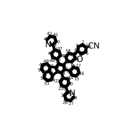 N#Cc1ccc2c(c1)oc1cc(-c3c(-c4ccccc4)c(-c4ccc(-c5ccccn5)cc4)c4c(c3-c3ccc(-c5ccccn5)cc3)-c3cccc5cccc-4c35)ccc12